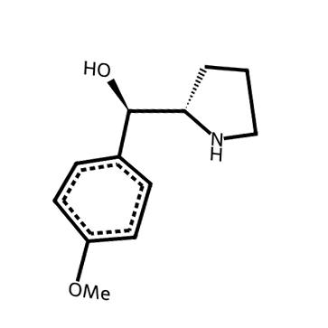 COc1ccc([C@@H](O)[C@@H]2CCCN2)cc1